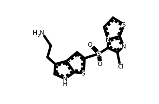 NCCc1c[nH]c2sc(S(=O)(=O)c3c(Cl)nc4sccn34)cc12